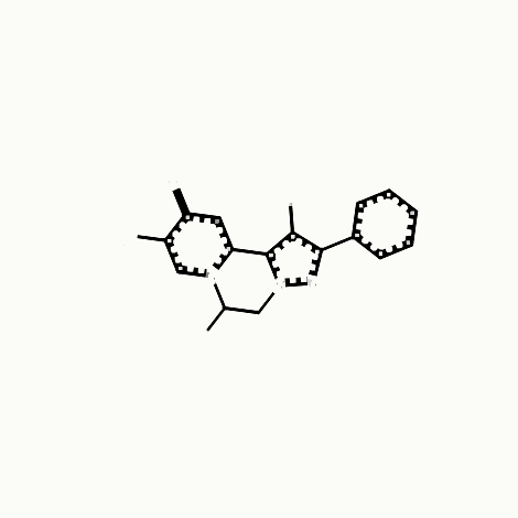 CC(C)(C)C1Cn2nc(-c3ccccc3)c(Cl)c2-c2cc(=O)c(C(=O)O)cn21